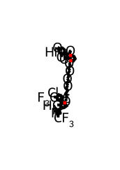 Cn1nc(C(F)(F)F)cc1-c1ccc(OCCCCCOCCOCCOCCOc2cccc3c2C(=O)N(C2CCC(=O)NC2=O)C3=O)c(-c2ccc(Cl)c(C(F)(F)F)c2)c1O